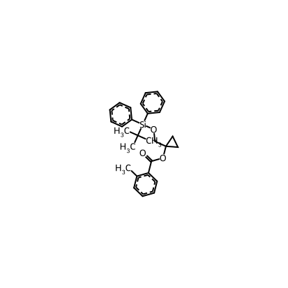 Cc1ccccc1C(=O)OC1(CO[Si](c2ccccc2)(c2ccccc2)C(C)(C)C)CC1